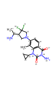 Cc1c(N2CC(C(C)N)C(F)(F)C2)ccc2c(=O)n(N)c(=O)n(C3CC3)c12